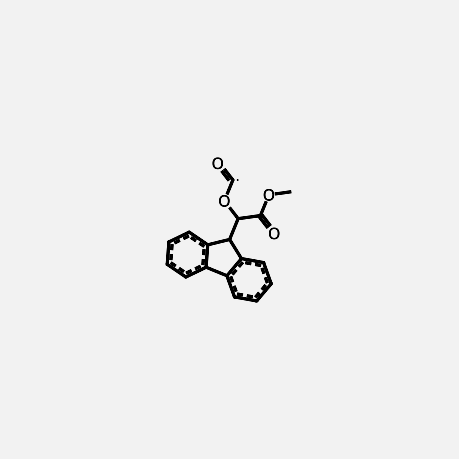 COC(=O)C(O[C]=O)C1c2ccccc2-c2ccccc21